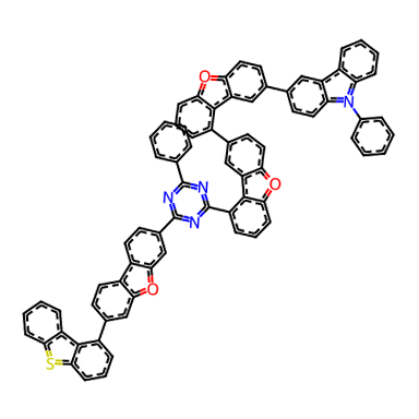 c1ccc(-c2nc(-c3ccc4c(c3)oc3cc(-c5cccc6sc7ccccc7c56)ccc34)nc(-c3cccc4oc5ccc(-c6cccc7oc8ccc(-c9ccc%10c(c9)c9ccccc9n%10-c9ccccc9)cc8c67)cc5c34)n2)cc1